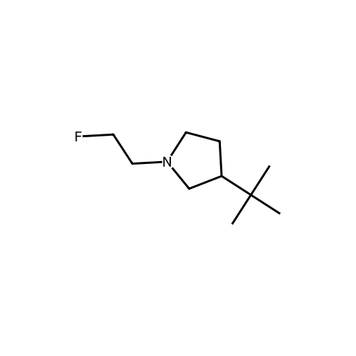 CC(C)(C)C1CCN(CCF)C1